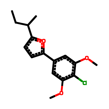 CCC(C)c1ccc(-c2cc(OC)c(Cl)c(OC)c2)o1